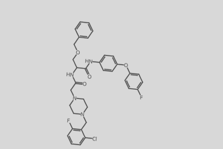 O=C(CN1CCN(Cc2c(F)cccc2Cl)CC1)NC(COCc1ccccc1)C(=O)Nc1ccc(Oc2ccc(F)cc2)cc1